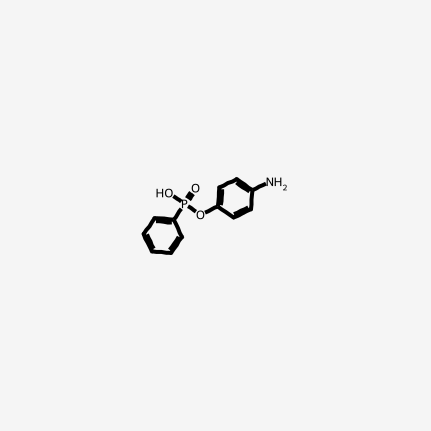 Nc1ccc(OP(=O)(O)c2ccccc2)cc1